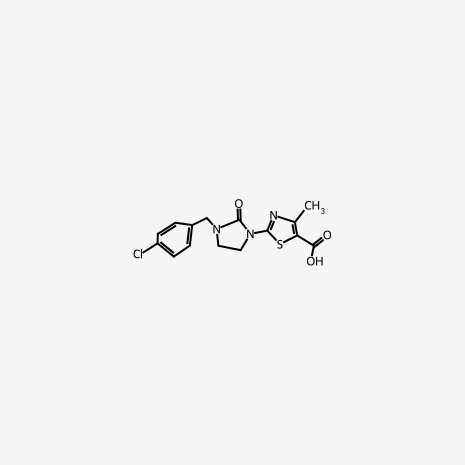 Cc1nc(N2CCN(Cc3ccc(Cl)cc3)C2=O)sc1C(=O)O